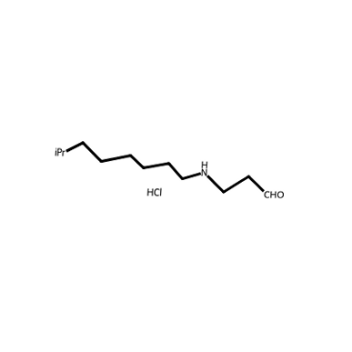 CC(C)CCCCCCNCCC=O.Cl